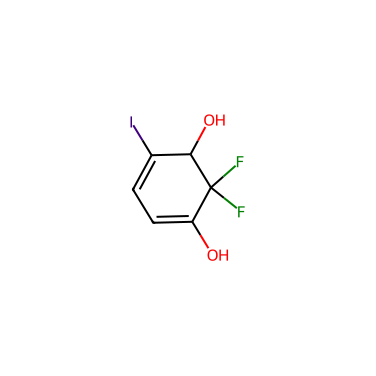 OC1=CC=C(I)C(O)C1(F)F